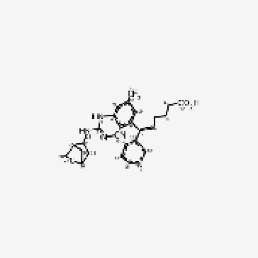 N#CN=C(Nc1cc(/C(=C\CCCC(=O)O)c2cccnc2)cc(C(F)(F)F)c1)NC1CC2CCC1C2